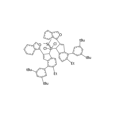 CCc1ccc2c(c1-c1cc(C(C)(C)C)cc(C(C)(C)C)c1)C=C(c1occ3ccccc13)[CH]2[Zr]([Cl])([Cl])([CH]1C(c2occ3ccccc23)=Cc2c1ccc(CC)c2-c1cc(C(C)(C)C)cc(C(C)(C)C)c1)=[Si](C)C